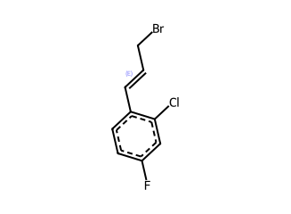 Fc1ccc(/C=C/CBr)c(Cl)c1